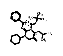 CC(C)C[C@H]1C(=O)CN(C2CCCCC2)C(=NC(C)c2ccccc2)N1C(=O)OC(C)(C)C